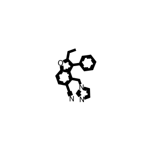 CCc1oc2ccc(C#N)c(Cn3ccnc3)c2c1-c1ccccc1